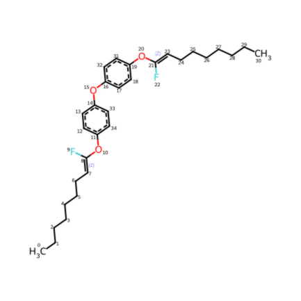 CCCCCCC/C=C(\F)Oc1ccc(Oc2ccc(O/C(F)=C/CCCCCCC)cc2)cc1